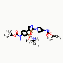 CC(C)OC(=O)Nc1ccc(-c2cnc(N3CC4C(C3)C4NC(=O)OC(C)C)s2)c(S(=O)(=O)NC(C)(C)C)c1